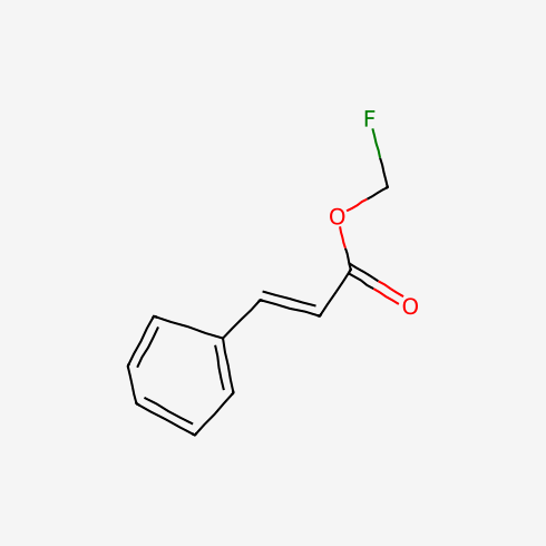 O=C(C=Cc1ccccc1)OCF